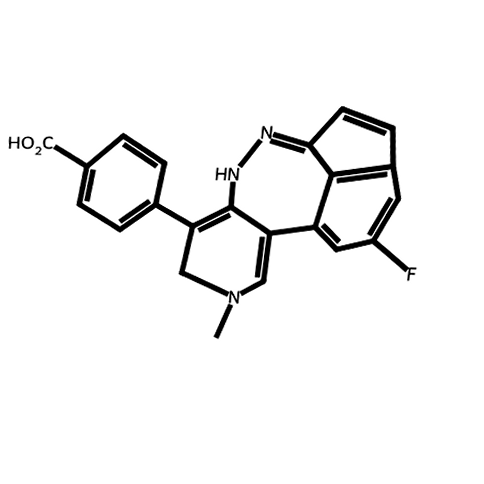 CN1C=C2C(=C(c3ccc(C(=O)O)cc3)C1)NN=C1C=Cc3cc(F)cc2c31